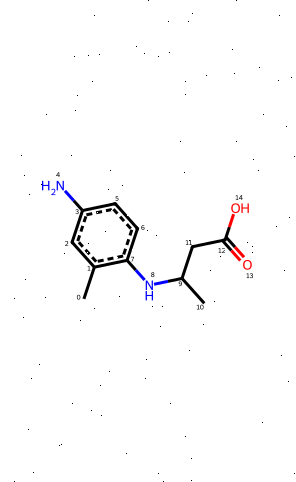 Cc1cc(N)ccc1NC(C)CC(=O)O